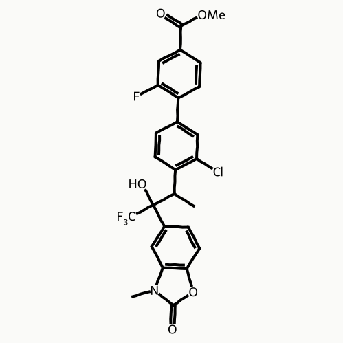 COC(=O)c1ccc(-c2ccc(C(C)C(O)(c3ccc4oc(=O)n(C)c4c3)C(F)(F)F)c(Cl)c2)c(F)c1